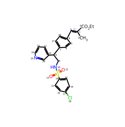 CCOC(=O)/C(C)=C/c1ccc(C(CNS(=O)(=O)c2ccc(Cl)cc2)c2cccnc2)cc1